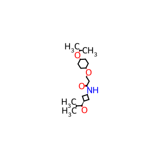 CC(C)O[C@H]1CC[C@@H](OCCC(=O)N[C@H]2C[C@H](C(=O)C(C)C)C2)CC1